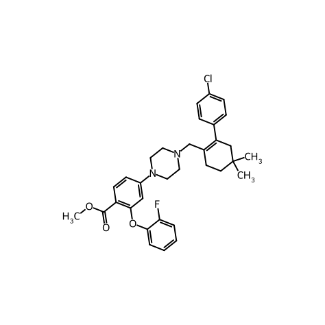 COC(=O)c1ccc(N2CCN(CC3=C(c4ccc(Cl)cc4)CC(C)(C)CC3)CC2)cc1Oc1ccccc1F